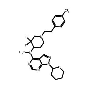 CN(c1ncnc2c1cnn2C1CCCCO1)C1CCN(CCc2ccc(C(F)(F)F)cc2)CC1(F)F